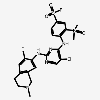 CN1CCc2cc(F)c(Nc3ncc(Cl)c(Nc4ccc(S(=O)(=O)F)cc4P(C)(C)=O)n3)cc2C1